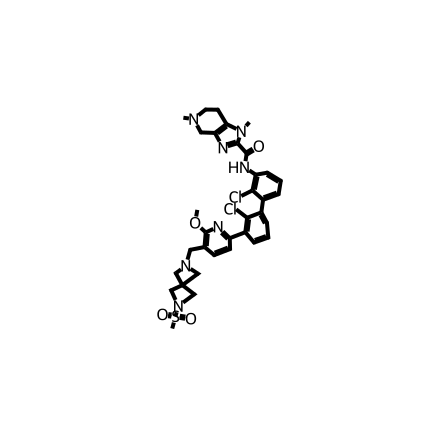 COc1nc(-c2cccc(-c3cccc(NC(=O)c4nc5c(n4C)CCN(C)C5)c3Cl)c2Cl)ccc1CN1CC2(C1)CN(S(C)(=O)=O)C2